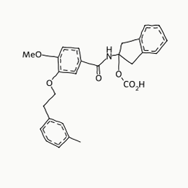 COc1ccc(C(=O)NC2(OC(=O)O)Cc3ccccc3C2)cc1OCCc1cccc(C)c1